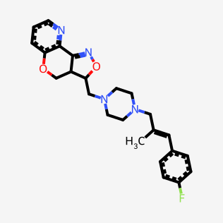 C/C(=C\c1ccc(F)cc1)CN1CCN(CC2ON=C3c4ncccc4OCC32)CC1